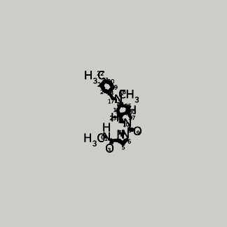 CNC(=O)c1ccn(C(=O)N2C[C@H]3C[C@@H](N(C)Cc4ccc(C)cc4)C[C@H]3C2)n1